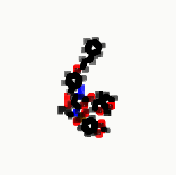 CC(C)CN(C[C@@H](O)[C@H](Cc1ccc(OCCCc2ccccc2)cc1)NC(=O)O[C@H]1CO[C@H]2OCC[C@H]21)S(=O)(=O)c1ccc2c(c1)OCO2